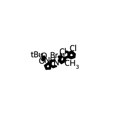 Cc1cc(N2CCC3(CCC[C@H]3NC(=O)OC(C)(C)C)CC2)c(Br)nc1-c1cccc(Cl)c1Cl